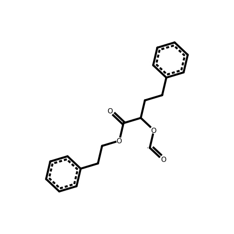 O=[C]OC(CCc1ccccc1)C(=O)OCCc1ccccc1